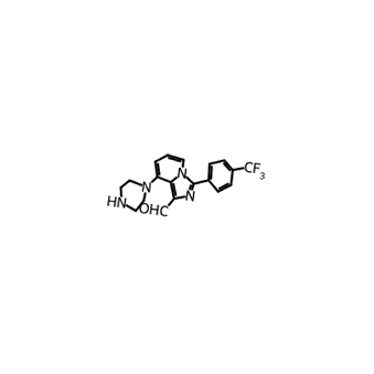 O=Cc1nc(-c2ccc(C(F)(F)F)cc2)n2cccc(N3CCNCC3)c12